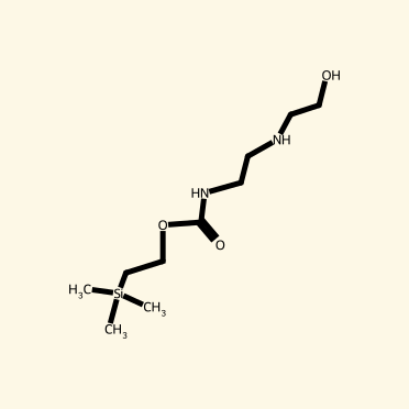 C[Si](C)(C)CCOC(=O)NCCNCCO